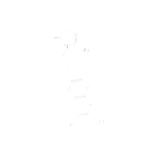 CCOC(Cc1ccc(OCCn2c(C)ccc2C(C)C)cc1)C(=O)O